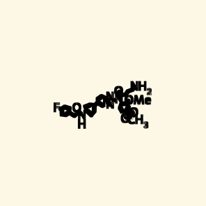 COc1cc(S(C)(=O)=O)ccc1N(C(=O)CCCN)c1nc2ccc(-c3ccc(NC(=O)Cc4ccc(F)cc4)cc3)cn2n1